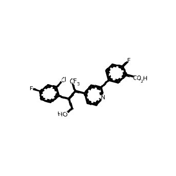 O=C(O)c1cc(-c2cc(C(C(CO)c3ccc(F)cc3Cl)C(F)(F)F)ccn2)ccc1F